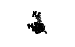 CCCCCC[N+](Cl)(Cl)C(C)(C)C(=O)[O-]